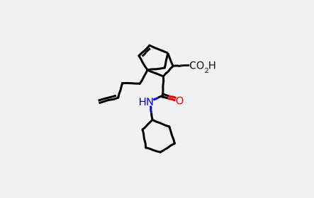 C=CCCC12C=CC(C1)C(C(=O)O)C2C(=O)NC1CCCCC1